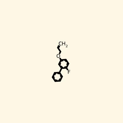 C=CCOc1ccc(F)c(-c2ccccc2)c1